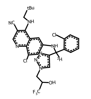 [2H]C(Nc1cc(Cl)c2ncc(C#N)c(NCC(C)(C)C)c2c1)(c1cn(CC(O)C(F)(F)F)nn1)c1ccccc1Cl